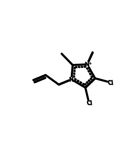 C=CCn1c(Cl)c(Cl)[n+](C)c1C